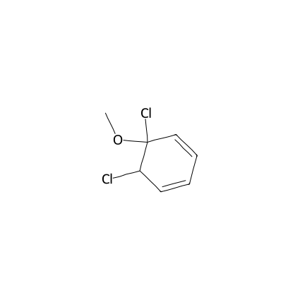 COC1(Cl)C=CC=CC1Cl